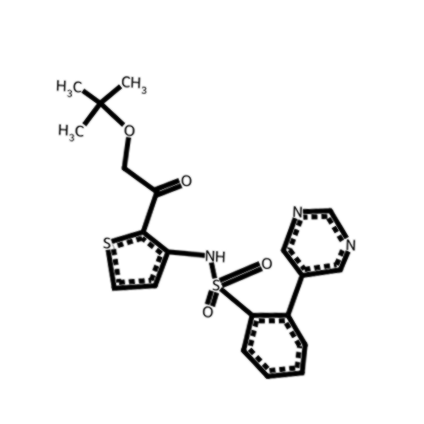 CC(C)(C)OCC(=O)c1sccc1NS(=O)(=O)c1ccccc1-c1cncnc1